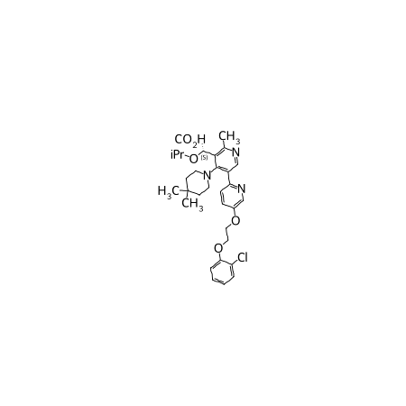 Cc1ncc(-c2ccc(OCCOc3ccccc3Cl)cn2)c(N2CCC(C)(C)CC2)c1[C@H](OC(C)C)C(=O)O